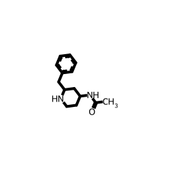 CC(=O)NC1CCNC(Cc2ccccc2)C1